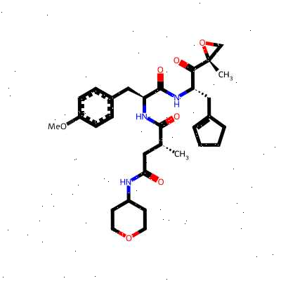 COc1ccc(C[C@H](NC(=O)[C@H](C)CC(=O)NC2CCOCC2)C(=O)N[C@@H](CC2=CCCC2)C(=O)[C@@]2(C)CO2)cc1